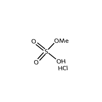 COS(=O)(=O)O.Cl